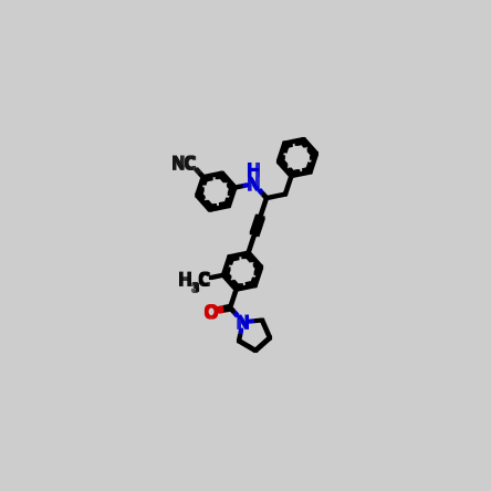 Cc1cc(C#CC(Cc2ccccc2)Nc2cccc(C#N)c2)ccc1C(=O)N1CCCC1